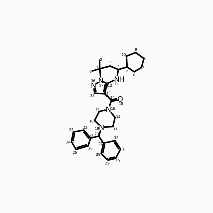 CC1(C)CC(C2CCCCC2)Nc2c(C(=O)N3CCN(C(c4ccccc4)c4ccccc4)CC3)cnn21